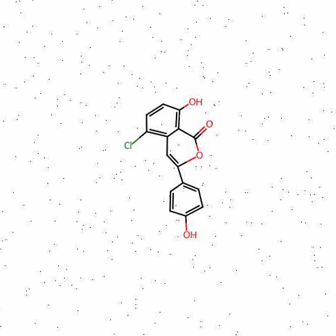 O=c1oc(-c2ccc(O)cc2)cc2c(Cl)ccc(O)c12